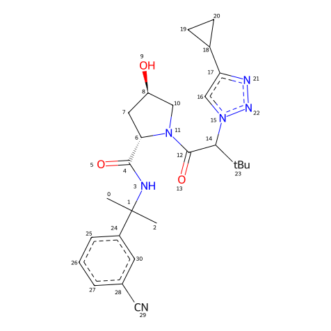 CC(C)(NC(=O)[C@@H]1C[C@@H](O)CN1C(=O)C(n1cc(C2CC2)nn1)C(C)(C)C)c1cccc(C#N)c1